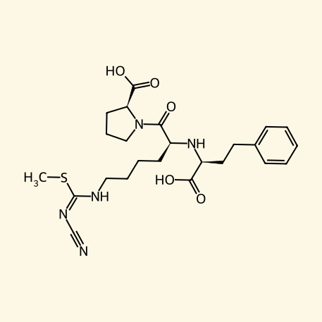 CS/C(=N/C#N)NCCCC[C@H](N[C@@H](CCc1ccccc1)C(=O)O)C(=O)N1CCC[C@H]1C(=O)O